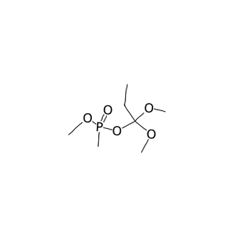 CCC(OC)(OC)OP(C)(=O)OC